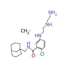 NCCNCCNc1ccc(Cl)c(C(=O)NCC23CCCC(CCC2)C3)c1.[CH2]